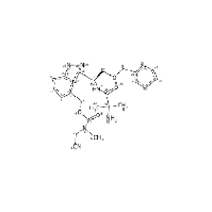 CN(CC#N)C(=O)OCc1cccc2nnc([C@@H](COCc3ccccc3)NC(=O)C(C)(C)N)n12